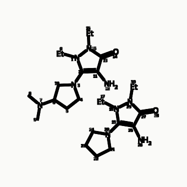 CCn1c(N2CCC(N(C)C)C2)c(N)c(=O)n1CC.CCn1c(N2CCCC2)c(N)c(=O)n1CC